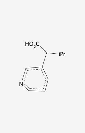 CC(C)C(C(=O)O)c1cccnc1